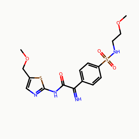 COCCNS(=O)(=O)c1ccc(C(=N)C(=O)Nc2ncc(COC)s2)cc1